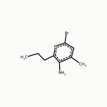 CCCc1nc(Br)cc(C)c1N